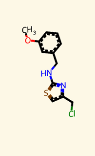 COc1cccc(CNc2nc(CCl)cs2)c1